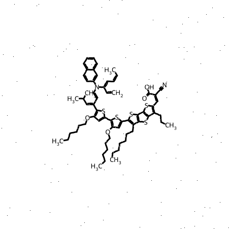 C=C/C(=C\C=C/C)N(/C=C/C(=C\C(C)C)c1sc(-c2sc(-c3sc4c(sc5c(CCC)c(/C=C(/C#N)C(=O)O)sc54)c3CCCCCCC)cc2OCCCCCC)cc1OCCCCCC)c1ccc2ccccc2c1